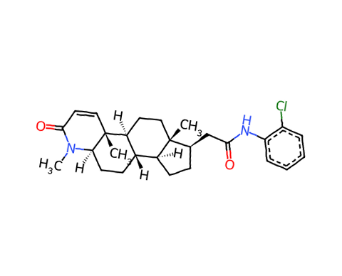 CN1C(=O)C=C[C@]2(C)[C@H]3CC[C@]4(C)[C@@H](CC(=O)Nc5ccccc5Cl)CC[C@H]4[C@@H]3CC[C@@H]12